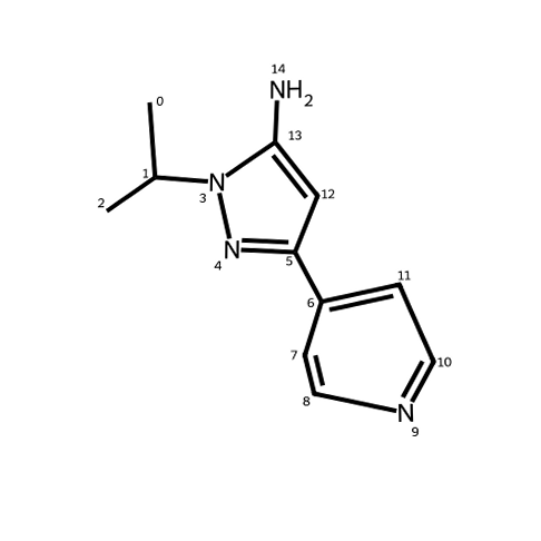 CC(C)n1nc(-c2ccncc2)cc1N